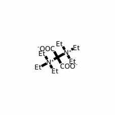 CC[N+](CC)(CC)C(C(=O)[O-])(C(=O)[O-])[N+](CC)(CC)CC